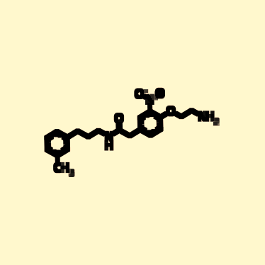 Cc1cccc(CCCNC(=O)Cc2ccc(OCCN)c([N+](=O)[O-])c2)c1